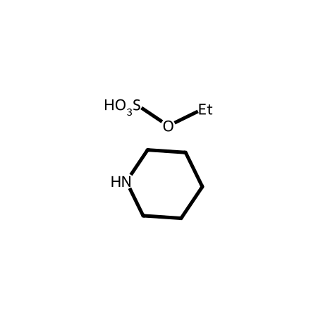 C1CCNCC1.CCOS(=O)(=O)O